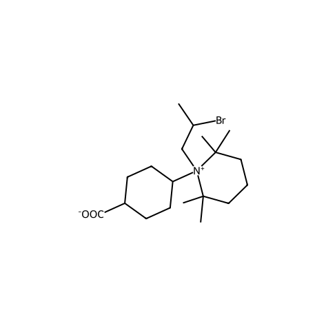 CC(Br)C[N+]1(C2CCC(C(=O)[O-])CC2)C(C)(C)CCCC1(C)C